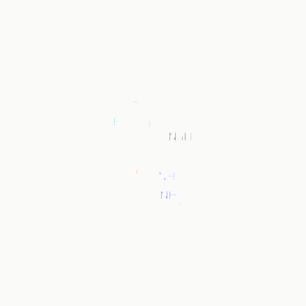 NNC(=O)CCC(F)(F)F.[NaH]